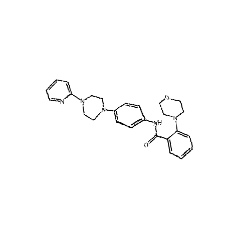 O=C(Nc1ccc(N2CCN(c3ccccn3)CC2)cc1)c1ccccc1N1CCOCC1